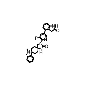 CN(C)[C@]1(c2ccccc2)CC[C@]2(CC1)CN(c1ncc(-c3cccc4c3CC(=O)N4)cc1F)C(=O)N2